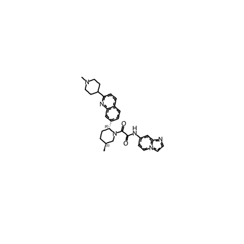 C[C@H]1CC[C@H](c2ccc3ccc(C4CCN(C)CC4)nc3c2)N(C(=O)C(=O)Nc2ccn3ccnc3c2)C1